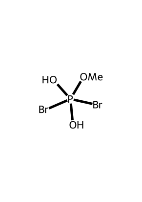 COP(O)(O)(Br)Br